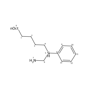 CCCCCCCCCCCC[SiH](CN)c1ccccc1